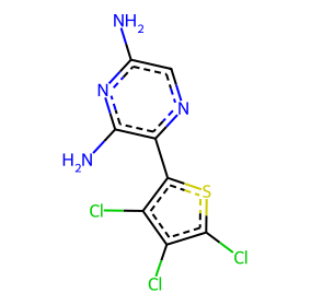 Nc1cnc(-c2sc(Cl)c(Cl)c2Cl)c(N)n1